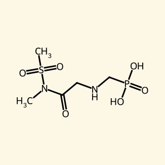 CN(C(=O)CNCP(=O)(O)O)S(C)(=O)=O